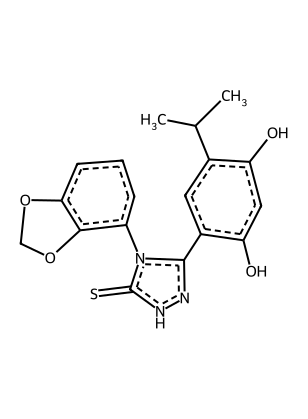 CC(C)c1cc(-c2n[nH]c(=S)n2-c2cccc3c2OCO3)c(O)cc1O